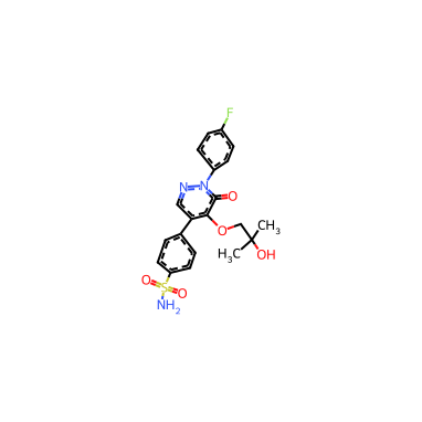 CC(C)(O)COc1c(-c2ccc(S(N)(=O)=O)cc2)cnn(-c2ccc(F)cc2)c1=O